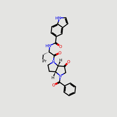 CC(C)C[C@H](NC(=O)c1ccc2[nH]ccc2c1)C(=O)N1CC[C@@H]2[C@H]1C(=O)CN2C(=O)c1ccccc1